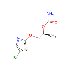 C[C@@H](COc1ncc(Br)s1)OC(N)=O